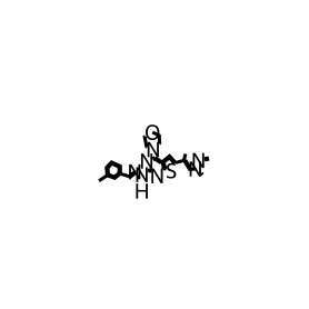 C=NN(C)/C=C(\C)c1cc2c(N3CCOCC3)nc(N/N=C/c3cccc(C)c3)nc2s1